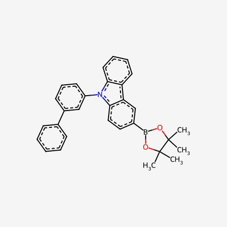 CC1(C)OB(c2ccc3c(c2)c2ccccc2n3-c2cccc(-c3ccccc3)c2)OC1(C)C